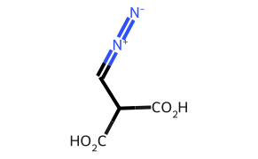 [N-]=[N+]=CC(C(=O)O)C(=O)O